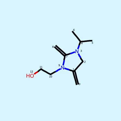 C=C1CN(C(C)C)C(=C)N1CCO